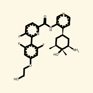 C[C@H]1C[C@@H](c2ccncc2NC(=O)c2ccc(F)c(-c3c(F)cc(OCCO)cc3F)n2)C[C@@H](N)[C@]1(C)O